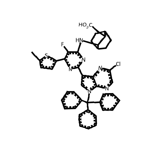 Cc1ccc(-c2nc(-c3cn(C(c4ccccc4)(c4ccccc4)c4ccccc4)c4ncc(Cl)nc34)nc(NC3C4CCC(CC4)C3C(=O)O)c2F)s1